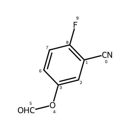 N#Cc1cc(OC=O)ccc1F